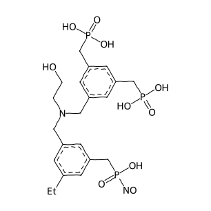 CCc1cc(CN(CCO)Cc2cc(CP(=O)(O)O)cc(CP(=O)(O)O)c2)cc(CP(=O)(O)N=O)c1